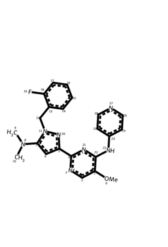 COc1cnc(-c2cc(N(C)C)n(Cc3ccccc3F)n2)nc1Nc1ccncc1